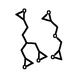 C(CC1CO1)C(CC1CO1)CC1CO1.C(OCC1CO1)C1CO1